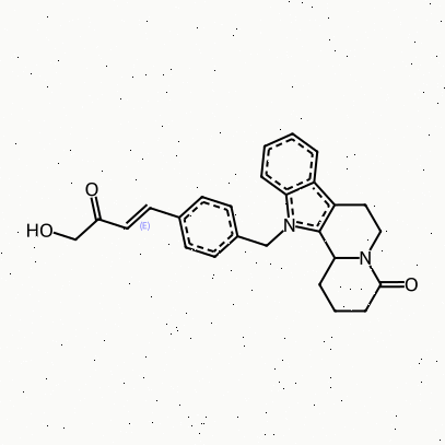 O=C(/C=C/c1ccc(Cn2c3c(c4ccccc42)CCN2C(=O)CCCC32)cc1)CO